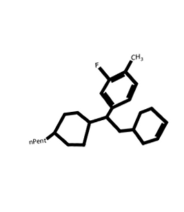 CCCCCC1CCC(C(CC2CC=CCC2)c2ccc(C)c(F)c2)CC1